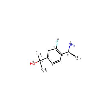 C[C@H](N)c1ccc(C(C)(C)O)cc1F